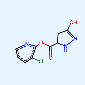 O=C(Oc1ncccc1Cl)C1CC(O)=NN1